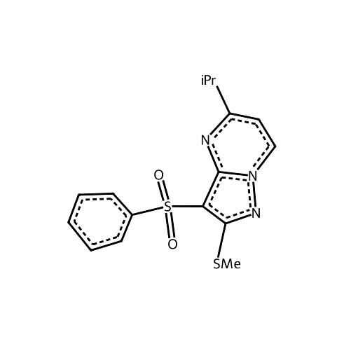 CSc1nn2ccc(C(C)C)nc2c1S(=O)(=O)c1ccccc1